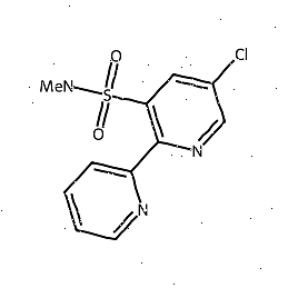 CNS(=O)(=O)c1cc(Cl)cnc1-c1ccccn1